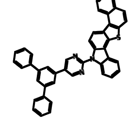 c1ccc(-c2cc(-c3ccccc3)cc(-c3cnc(-n4c5ccccc5c5c6sc7ccc8ccccc8c7c6ccc54)nc3)c2)cc1